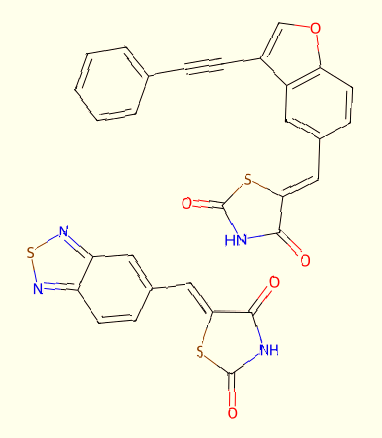 O=C1NC(=O)C(=Cc2ccc3nsnc3c2)S1.O=C1NC(=O)C(=Cc2ccc3occ(C#Cc4ccccc4)c3c2)S1